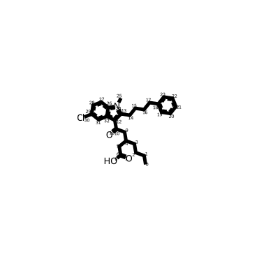 CCCCC(CC(=O)O)CC(=O)c1c(CCCCc2ccccc2)n(C)c2ccc(Cl)cc12